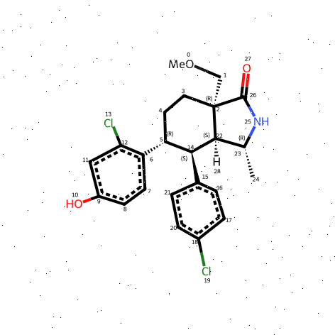 COC[C@@]12CC[C@@H](c3ccc(O)cc3Cl)[C@H](c3ccc(Cl)cc3)[C@@H]1[C@@H](C)NC2=O